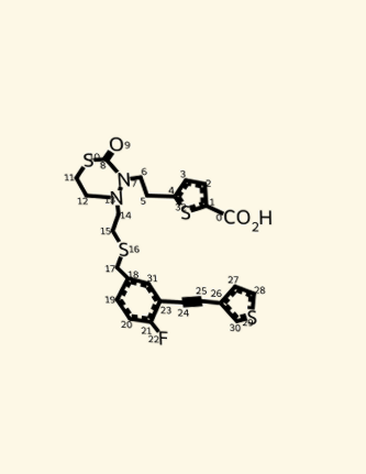 O=C(O)c1ccc(CCN2C(=O)SCCN2CCSCc2ccc(F)c(C#Cc3ccsc3)c2)s1